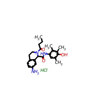 CCCC(=O)N1CCc2ccc(N)cc2C1C(=O)Nc1cc(C)c(O)c(C)c1C.Cl